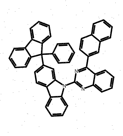 c1ccc(C2(c3ccc4c5ccccc5n(-c5nc(-c6ccc7ccccc7c6)c6ccccc6n5)c4c3)c3ccccc3-c3ccccc32)cc1